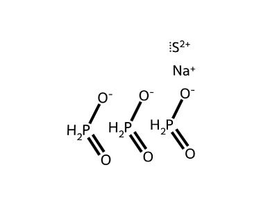 O=[PH2][O-].O=[PH2][O-].O=[PH2][O-].[Na+].[S+2]